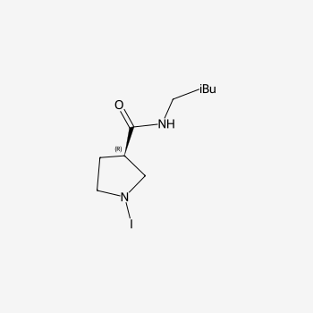 CCC(C)CNC(=O)[C@@H]1CCN(I)C1